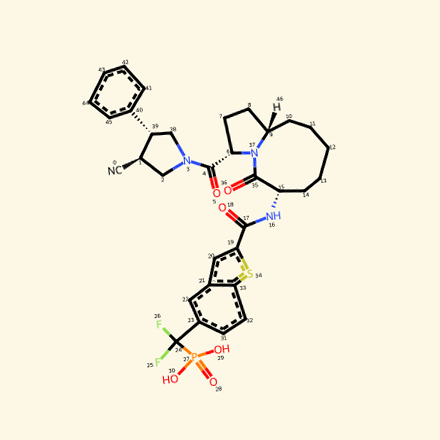 N#C[C@@H]1CN(C(=O)[C@@H]2CC[C@@H]3CCCCC[C@H](NC(=O)c4cc5cc(C(F)(F)P(=O)(O)O)ccc5s4)C(=O)N32)C[C@H]1c1ccccc1